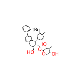 Cc1ccc(C2c3cc(-c4ccccc4)ccc3C[C@H](CO)[C@H]2CO[C@@H]2OC[C@@H](O)[C@H](C)[C@H]2O)cc1C(C)(C)C